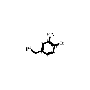 CCc1ccc(CC(C)C)cc1C#N